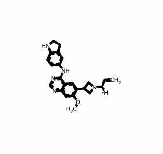 [2H]C(C=C)N1CC(c2cc3c(Nc4ccc5c(c4)CCN5)ncnc3cc2OC)C1